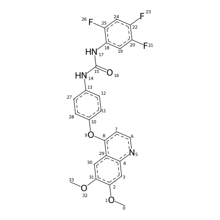 COc1cc2nccc(Oc3ccc(NC(=O)Nc4cc(F)c(F)cc4F)cc3)c2cc1OC